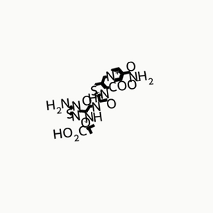 CC(C)(ON=C(C(=O)NC1C(=O)N2C(C(=O)[O-])=C(C[n+]3ccc(C(N)=O)cc3)CS[C@@H]12)c1nsc(N)n1)C(=O)O